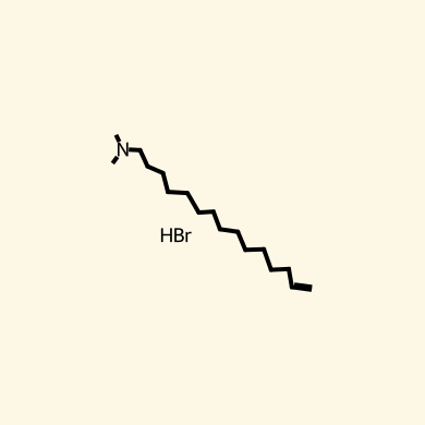 Br.C=CCCCCCCCCCCCCCN(C)C